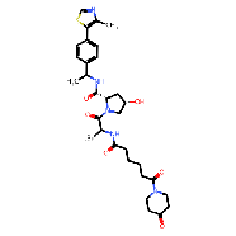 Cc1ncsc1-c1ccc(C(C)NC(=O)[C@@H]2C[C@@H](O)CN2C(=O)C(NC(=O)CCCCC(=O)N2CCC(=O)CC2)C(C)(C)C)cc1